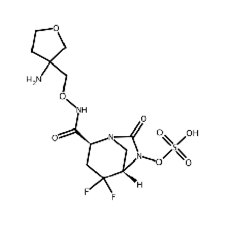 NC1(CONC(=O)[C@@H]2CC(F)(F)[C@@H]3CN2C(=O)N3OS(=O)(=O)O)CCOC1